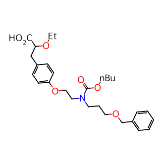 CCCCOC(=O)N(CCCOCc1ccccc1)CCOc1ccc(CC(OCC)C(=O)O)cc1